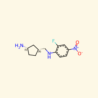 N[C@H]1CC[C@@H](CNc2ccc([N+](=O)[O-])cc2F)C1